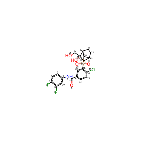 O=C(Nc1ccc(F)c(F)c1)c1ccc(Cl)c(S(=O)(=O)[C@@H]2C3CCC2[C@@](O)(CO)C3)c1